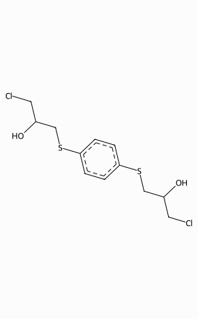 OC(CCl)CSc1ccc(SCC(O)CCl)cc1